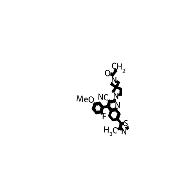 C=CC(=O)N1CC2(CCN(c3nc4c(c(-c5cc(OC)ccc5F)c3C#N)CCC(c3scnc3C)=C4)C2)C1